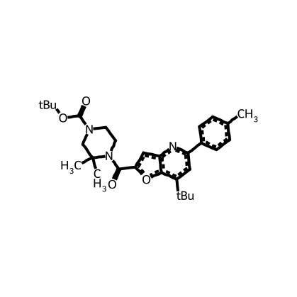 Cc1ccc(-c2cc(C(C)(C)C)c3oc(C(=O)N4CCN(C(=O)OC(C)(C)C)CC4(C)C)cc3n2)cc1